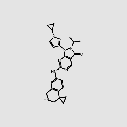 CC(C)n1c(=O)c2cnc(Nc3ccc4c(c3)CNCC43CC3)nc2n1-c1ccn(C2CC2)n1